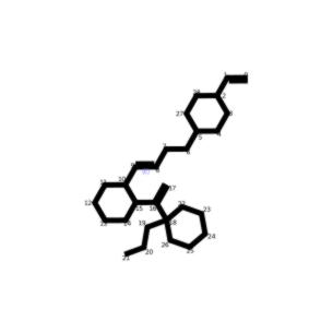 C=CC1CCC(CC/C=C/C2CCCCC2C(=C)C2(CCC)CCCCC2)CC1